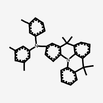 Cc1cccc(N(c2cc(C)cc(C)c2)c2ccc3c(c2)C(C)(C)c2cccc4c2N3c2ccccc2C4(C)C)c1